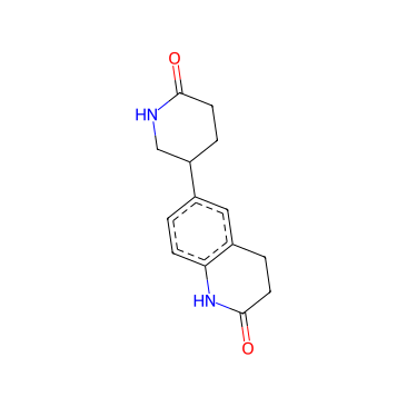 O=C1CCC(c2ccc3c(c2)CCC(=O)N3)CN1